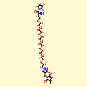 CC1CC(=O)N(Cc2cn(CCOCCOCCOCCOCCOCCOCCOCCNC(=O)N3CC[C@H](C)C3)nn2)C1=O